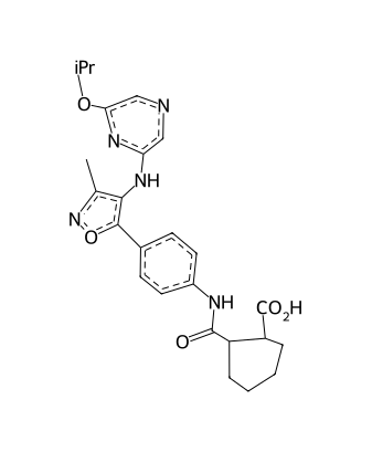 Cc1noc(-c2ccc(NC(=O)C3CCCCC3C(=O)O)cc2)c1Nc1cncc(OC(C)C)n1